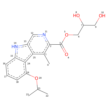 Cc1c(C(=O)OCC(O)CO)ncc2[nH]c3cccc(OC(C)C)c3c12